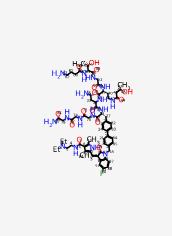 CCN(CC)CCNC(=O)c1c(C)[nH]c(/C=C2\C(=O)N(Cc3ccc(-c4ccc(C[C@@H](NC(=O)C(CCN)NC(=O)[C@H](CCNC(=O)C[C@@H](C)O)NC(=O)CNC(=O)[C@@H](NC(=O)CCCN)[C@@H](C)O)C(=O)NCC(=O)NCC(=O)NCC(N)=O)cc4)cc3)c3ccc(F)cc32)c1C